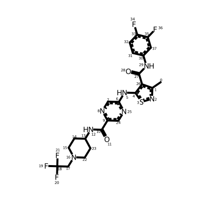 Cc1nsc(Nc2cnc(C(=O)NC3CCN(CC(F)(F)F)CC3)cn2)c1C(=O)Nc1ccc(F)c(F)c1